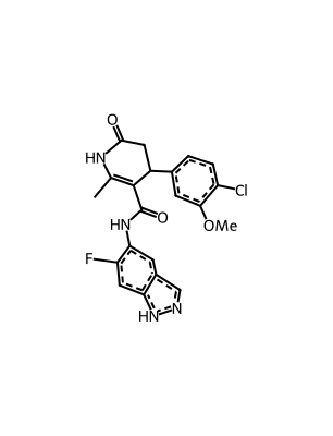 COc1cc(C2CC(=O)NC(C)=C2C(=O)Nc2cc3cn[nH]c3cc2F)ccc1Cl